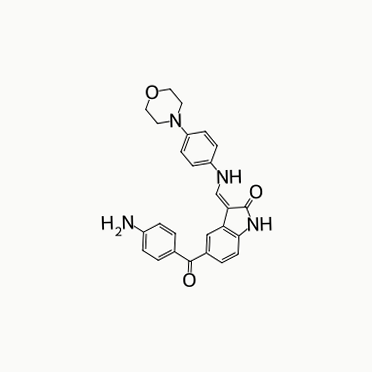 Nc1ccc(C(=O)c2ccc3c(c2)C(=CNc2ccc(N4CCOCC4)cc2)C(=O)N3)cc1